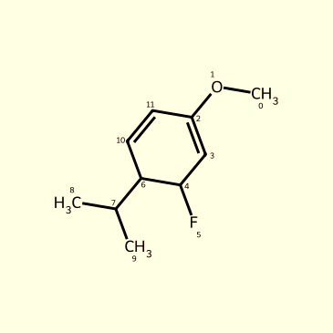 COC1=CC(F)C(C(C)C)C=C1